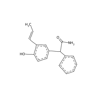 CC=Cc1cc(C(C(N)=O)c2ccccc2)ccc1O